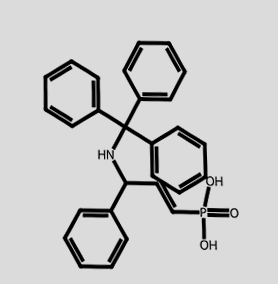 O=P(O)(O)/C=C/C(NC(c1ccccc1)(c1ccccc1)c1ccccc1)c1ccccc1